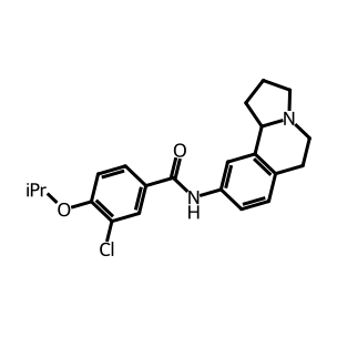 CC(C)Oc1ccc(C(=O)Nc2ccc3c(c2)C2CCCN2CC3)cc1Cl